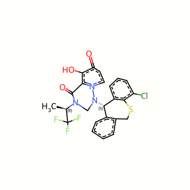 C[C@@H](N1CN([C@H]2c3ccccc3CSc3c(Cl)cccc32)n2ccc(=O)c(O)c2C1=O)C(F)(F)F